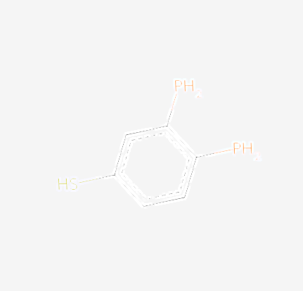 Pc1ccc(S)cc1P